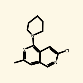 Cc1cc2cnc(Cl)cc2c(N2CCCCC2)n1